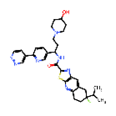 CC(C)[C@]1(F)CCc2nc3sc(C(=O)NC(CCN4CCC(O)CC4)c4ccc(-c5ccnnc5)nc4)nc3cc2C1